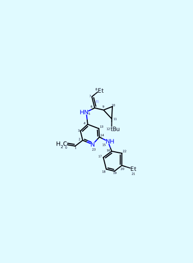 C=Cc1cc(N/C(=C/CC)C2CC2C(C)(C)C)cc(Nc2cccc(CC)c2)n1